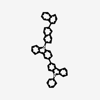 c1ccc(-n2c3ccccc3c3cc(-c4ccc5c(c4)c4ccccc4n5-c4ccc5cc(-c6cccc7ccccc67)ccc5c4)ccc32)cc1